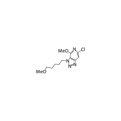 COCCCCCn1nnc2cc(Cl)nc(OC)c21